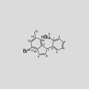 CCCCc1ccccc1C1C=Cc2c(Br)cc(C)cc21